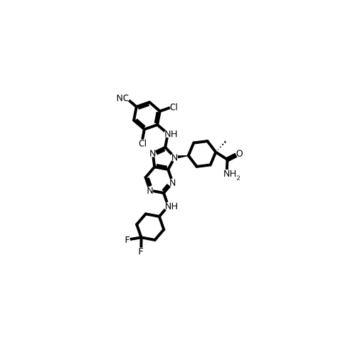 C[C@]1(C(N)=O)CC[C@@H](n2c(Nc3c(Cl)cc(C#N)cc3Cl)nc3cnc(NC4CCC(F)(F)CC4)nc32)CC1